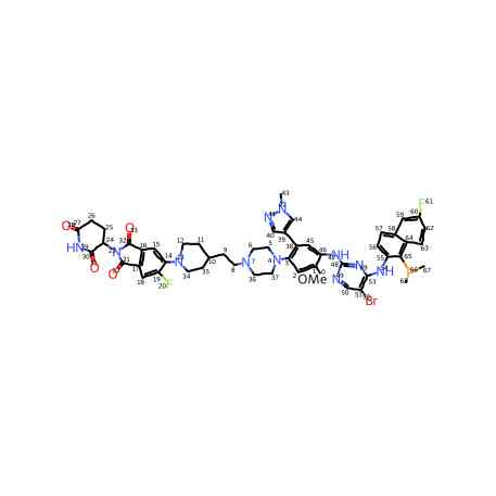 COc1cc(N2CCN(CCC3CCN(c4cc5c(cc4F)C(=O)N(C4CCC(=O)NC4=O)C5=O)CC3)CC2)c(-c2cnn(C)c2)cc1Nc1ncc(Br)c(Nc2ccc3cc(F)ccc3c2P(C)C)n1